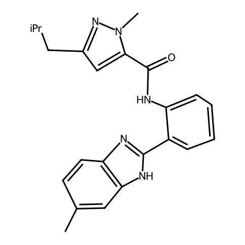 Cc1ccc2nc(-c3ccccc3NC(=O)c3cc(CC(C)C)nn3C)[nH]c2c1